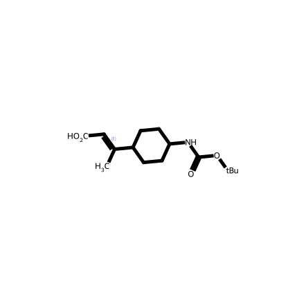 C/C(=C\C(=O)O)C1CCC(NC(=O)OC(C)(C)C)CC1